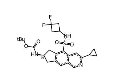 CC(C)(C)OC(=O)N[C@@H]1Cc2cc3cnc(C4CC4)cc3c(S(=O)(=O)NC3CC(F)(F)C3)c2C1